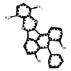 Cc1ccc(C)c2nc3c(nc12)-c1ccc(C#N)c2c(-c4ccccc4)c4c(C#N)cccc4c-3c12